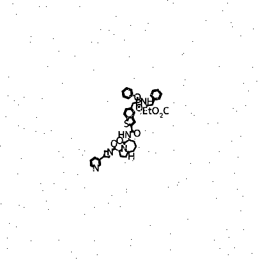 CCOC(=O)[C@H](Cc1ccccc1)NP(=O)(Cc1ccc2sc(C(=O)N[C@H]3CCC[C@H]4CC[C@@H](C(=O)N5CC(c6cccnc6)C5)N4C3=O)cc2c1)Oc1ccccc1